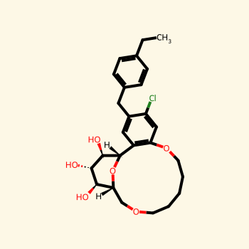 CCc1ccc(Cc2cc3c(cc2Cl)OCCCCCOC[C@H]2O[C@@H]3[C@H](O)[C@@H](O)[C@@H]2O)cc1